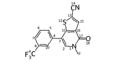 Cn1cc(-c2cccc(C(F)(F)F)c2)c2sc(C#N)cc2c1=O